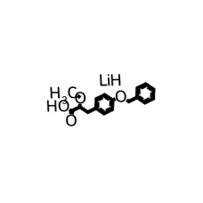 COC(Cc1ccc(OCc2ccccc2)cc1)C(=O)O.[LiH]